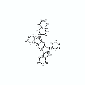 c1ccc(-n2c3cc4c(cc3c3c5ccccc5sc32)c2ccccc2n4-c2ccc3ccccc3c2)cc1